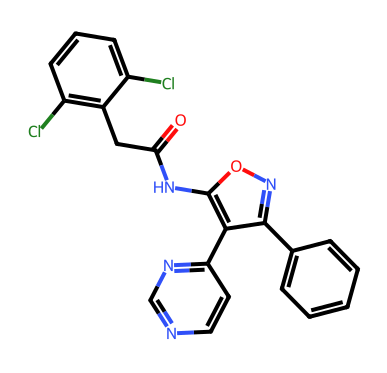 O=C(Cc1c(Cl)cccc1Cl)Nc1onc(-c2ccccc2)c1-c1ccncn1